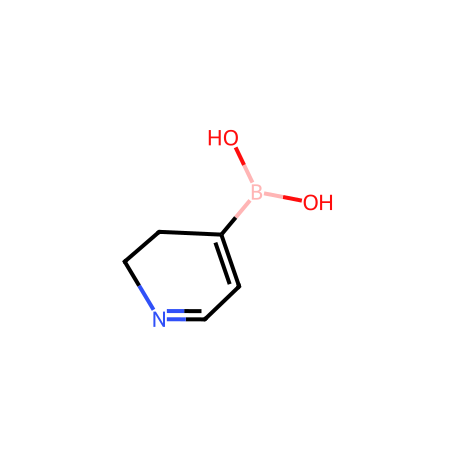 OB(O)C1=CC=NCC1